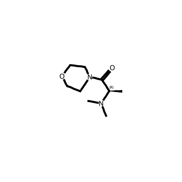 C[C@H](C(=O)N1CCOCC1)N(C)C